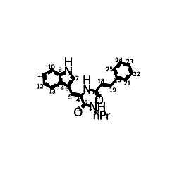 CCCNC(=O)/C(=C/c1c[nH]c2ccccc12)NC(=O)/C=C/c1ccccc1